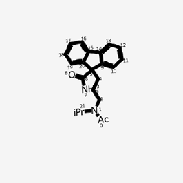 CC(=O)N(CCCC1(C(N)=O)c2ccccc2-c2ccccc21)C(C)C